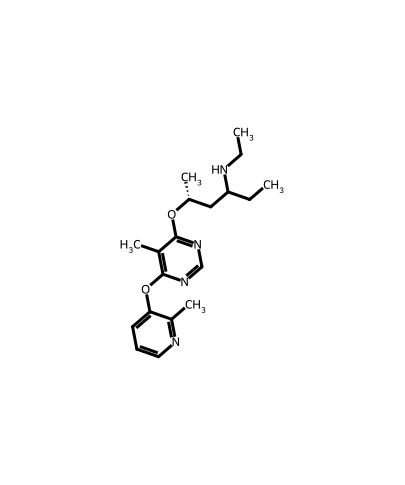 CCNC(CC)C[C@@H](C)Oc1ncnc(Oc2cccnc2C)c1C